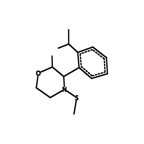 CSN1CCOC(C)C1c1ccccc1C(C)C